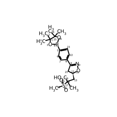 CC1(C)OB(c2ccc(C3=NO[C@@H](CC(C)(C(=O)O)S(C)(=O)=O)C3)cc2)OC1(C)C